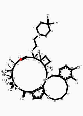 C[C@@H]1[C@@H](C)S(=O)(=O)NC(=O)c2ccc3c(c2)N(Cc2ccc(Cl)c(F)c2CCCCO3)C[C@@H]2CC[C@H]2[C@@H](OCCN2CCC(F)(F)CC2)C2=C[C@H]1C2